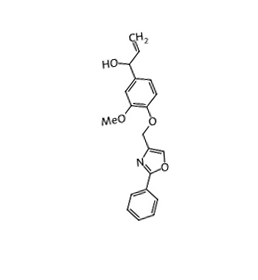 C=CC(O)c1ccc(OCc2coc(-c3ccccc3)n2)c(OC)c1